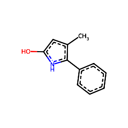 Cc1cc(O)[nH]c1-c1ccccc1